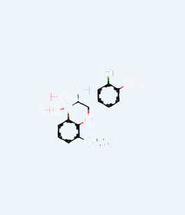 COc1cccc2c1O[C@@H](c1ccc(O)c(Br)c1)[C@H](C)S2(O)O